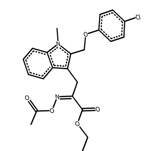 CCOC(=O)C(Cc1c(COc2ccc(Cl)cc2)n(C)c2ccccc12)=NOC(C)=O